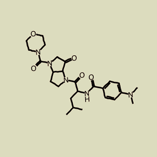 CC(C)CC(NC(=O)c1ccc(N(C)C)cc1)C(=O)N1CCC2C1C(=O)CN2C(=O)N1CCOCC1